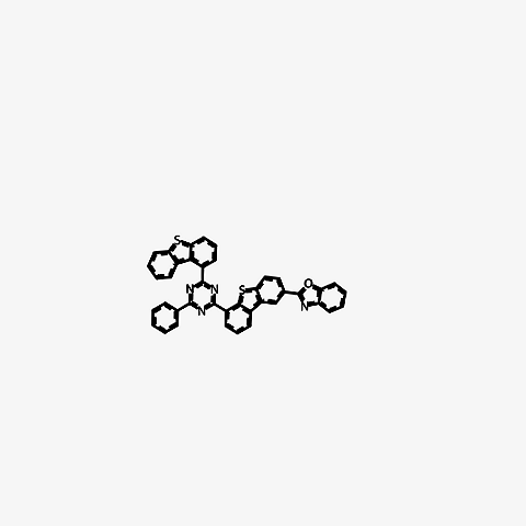 c1ccc(-c2nc(-c3cccc4c3sc3ccc(-c5nc6ccccc6o5)cc34)nc(-c3cccc4sc5ccccc5c34)n2)cc1